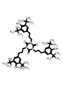 CC(C)(C)c1cc(CCCn2c(=O)n(CCCc3cc(C(C)(C)C)c(O)c(C(C)(C)C)c3)c(=O)n(CCCc3cc(C(C)(C)C)c(O)c(C(C)(C)C)c3)c2=O)cc(C(C)(C)C)c1O